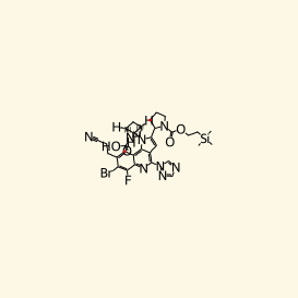 C[Si](C)(C)CCOC(=O)N1CCCC1c1cc2c(-n3cncn3)nc3c(F)c(Br)c(CCC#N)cc3c2n1[C@H]1[C@@H]2C[C@H]1N(C(=O)O)C2